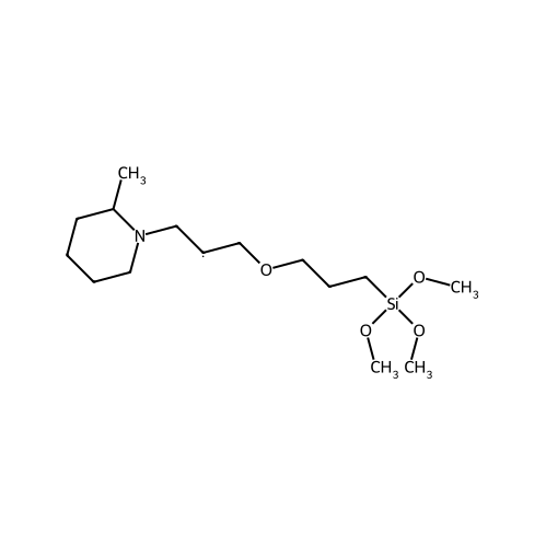 CO[Si](CCCOC[CH]CN1CCCCC1C)(OC)OC